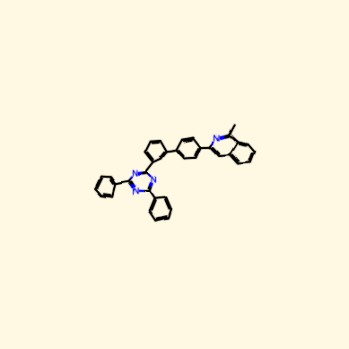 Cc1nc(-c2ccc(-c3cccc(-c4nc(-c5ccccc5)nc(-c5ccccc5)n4)c3)cc2)cc2ccccc12